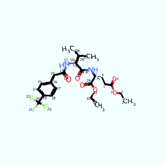 CCOC(=O)CC[C@@H](NC(=O)[C@@H](NC(=O)Cc1ccc(C(F)(F)F)cc1)C(C)C)C(=O)OCC